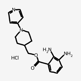 Cl.Nc1cccc(C(=O)OCC2CCN(c3ccncc3)CC2)c1N